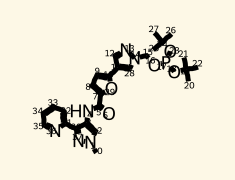 Cn1cc(NC(=O)c2ccc(-c3cnn(COP(OC(C)(C)C)OC(C)(C)C)c3)o2)c(-c2ccccn2)n1